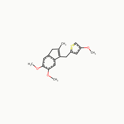 COc1csc(CC2=C(C)Cc3cc(OC)c(OC)cc32)c1